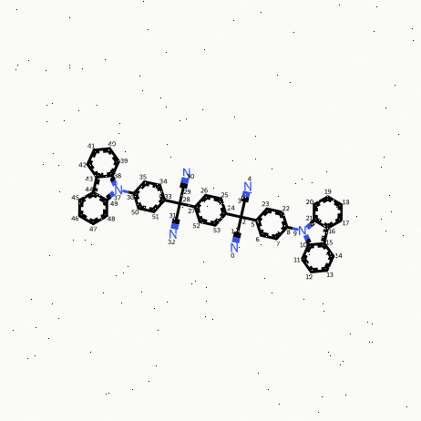 N#CC(C#N)(c1ccc(-n2c3ccccc3c3ccccc32)cc1)c1ccc(C(C#N)(C#N)c2ccc(-n3c4ccccc4c4ccccc43)cc2)cc1